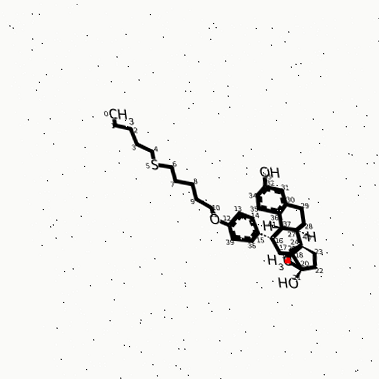 CCCCCSCCCCCOc1ccc([C@H]2C[C@]3(C)[C@]4(O)CC[C@@]3(CC4)[C@@H]3CCc4cc(O)ccc4[C@@H]23)cc1